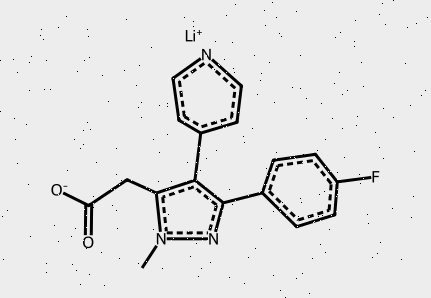 Cn1nc(-c2ccc(F)cc2)c(-c2ccncc2)c1CC(=O)[O-].[Li+]